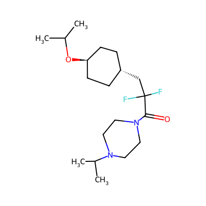 CC(C)O[C@H]1CC[C@H](CC(F)(F)C(=O)N2CCN(C(C)C)CC2)CC1